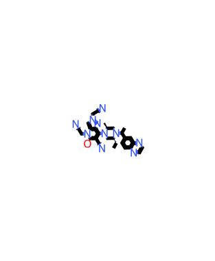 CC[C@@H]1CN(c2c(C#N)c(=O)n(CC#N)c3cn(CC#N)nc23)[C@@H](C)CN1C(C)c1ccc2nccnc2c1